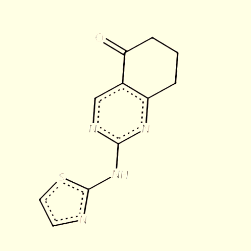 O=C1CCCc2nc(Nc3nccs3)ncc21